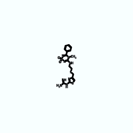 CN1C(NCCSCc2csc(NC(=N)N)n2)=NS(=O)(=O)N=C1c1ccccc1